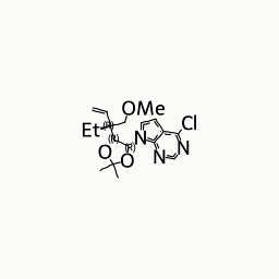 C=C[C@](CC)(COC)[C@H]1OC(C)(C)O[C@H]1n1ccc2c(Cl)ncnc21